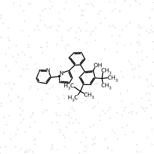 CC(C)(C)c1cc(-c2ccccc2-c2cccc(-c3ccccn3)n2)c(O)c(C(C)(C)C)c1